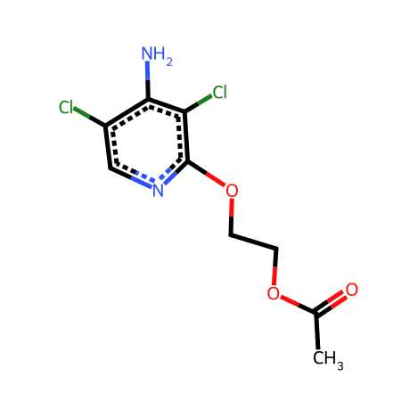 CC(=O)OCCOc1ncc(Cl)c(N)c1Cl